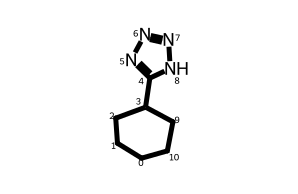 [CH]1CCC(c2nnn[nH]2)CC1